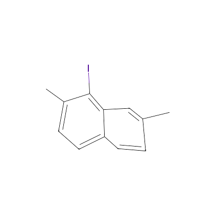 Cc1ccc2ccc(C)c(I)c2c1